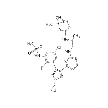 CC(CNc1nccc(-c2sc(C3CC3)nc2-c2cc(Cl)cc(NS(C)(=O)=O)c2F)n1)NC(=O)OC(C)(C)C